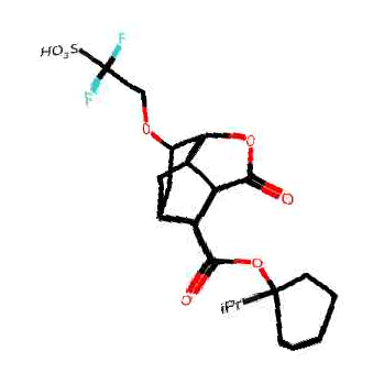 CC(C)C1(OC(=O)C2C3CC4C(OC(=O)C42)C3OCC(F)(F)S(=O)(=O)O)CCCC1